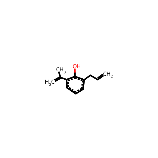 C=CCc1cccc(C(=C)C)c1O